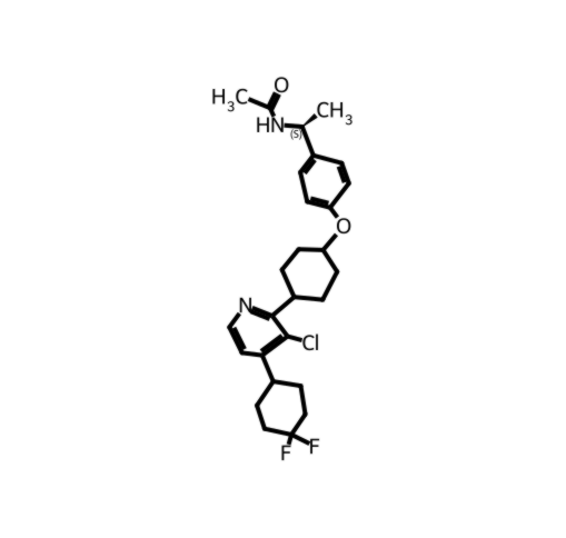 CC(=O)N[C@@H](C)c1ccc(OC2CCC(c3nccc(C4CCC(F)(F)CC4)c3Cl)CC2)cc1